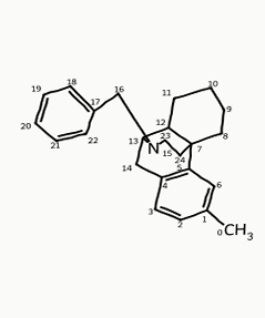 Cc1ccc2c(c1)C13CCCCC1C(C2)N(Cc1ccccc1)CC3